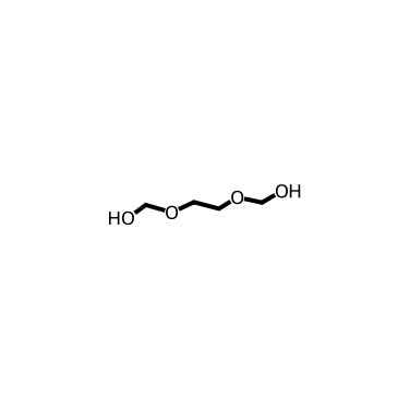 OCOCCOCO